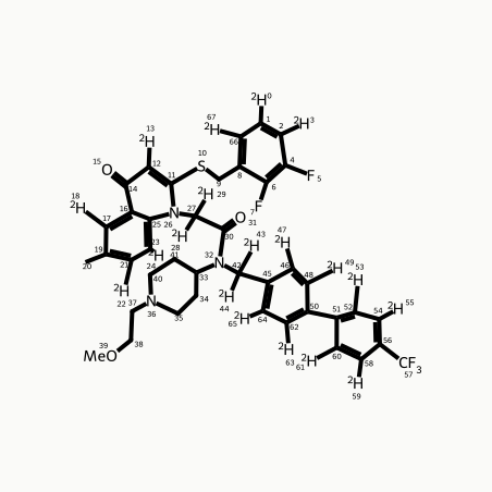 [2H]c1c([2H])c(F)c(F)c(CSc2c([2H])c(=O)c3c([2H])c(C)c([2H])c([2H])c3n2C([2H])([2H])C(=O)N(C2CCN(CCOC)CC2)C([2H])([2H])c2c([2H])c([2H])c(-c3c([2H])c([2H])c(C(F)(F)F)c([2H])c3[2H])c([2H])c2[2H])c1[2H]